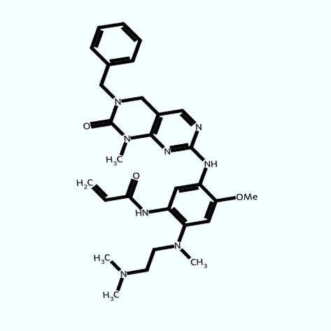 C=CC(=O)Nc1cc(Nc2ncc3c(n2)N(C)C(=O)N(Cc2ccccc2)C3)c(OC)cc1N(C)CCN(C)C